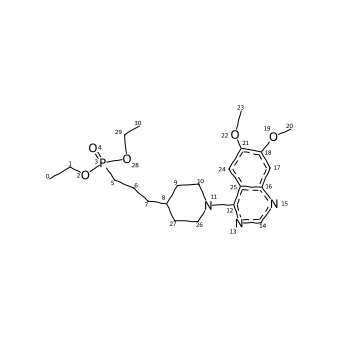 CCOP(=O)(CCCC1CCN(c2ncnc3cc(OC)c(OC)cc23)CC1)OCC